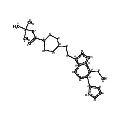 CC(C)(C)OC(=O)N1CCC(CCc2noc3c(CO)c(-c4cccs4)ccc23)CC1